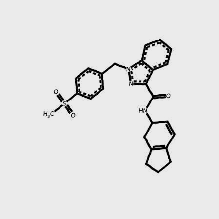 CS(=O)(=O)c1ccc(Cn2nc(C(=O)NC3C=CC4=C(CCC4)C3)c3ccccc32)cc1